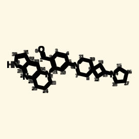 O=Cc1ccc(N2CCC3(CC2)CC(N2CCCC2)C3)cc1N1CCCc2nc3[nH]ccc3cc21